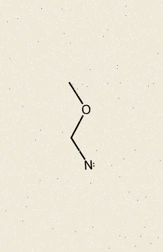 COC[N]